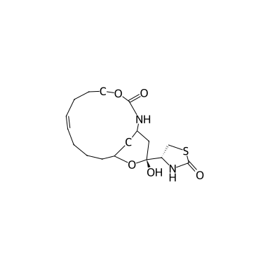 O=C1NC2CC(CCC/C=C\CCCO1)O[C@@](O)([C@@H]1CSC(=O)N1)C2